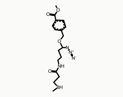 CBCCC(=O)NCCCC(N=[N+]=[N-])OCc1ccc(C(=O)OC)cc1